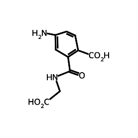 Nc1ccc(C(=O)O)c(C(=O)NCC(=O)O)c1